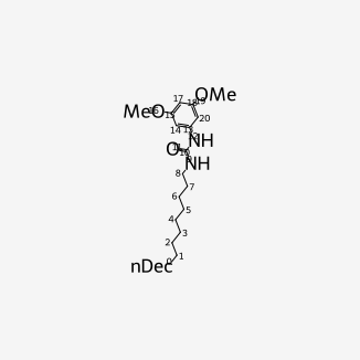 CCCCCCCCCCCCCCCCCCNC(=O)Nc1cc(OC)cc(OC)c1